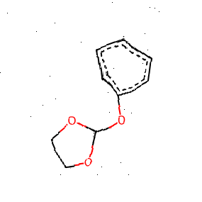 [c]1ccc(OC2OCCO2)cc1